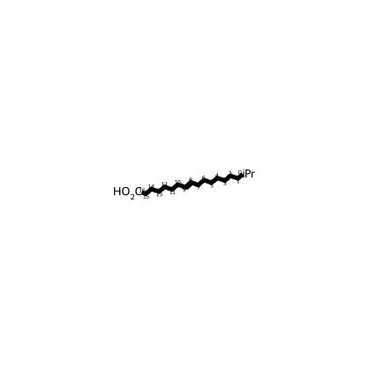 CC(C)CCCCCCCC=CCCCCCCC(=O)O